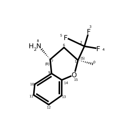 C[C@@]1(C(F)(F)F)C[C@@H](N)c2ccccc2O1